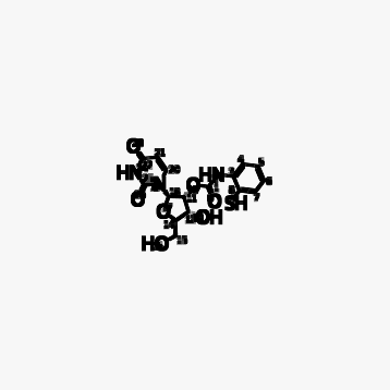 O=C(Nc1ccccc1S)O[C@@H]1[C@H](O)[C@@H](CO)O[C@H]1n1ccc(=O)[nH]c1=O